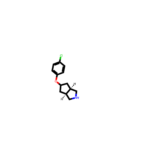 Clc1ccc(OC2C[C@H]3CNC[C@H]3C2)cc1